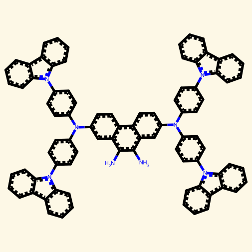 Nc1c(N)c2cc(N(c3ccc(-n4c5ccccc5c5ccccc54)cc3)c3ccc(-n4c5ccccc5c5ccccc54)cc3)ccc2c2ccc(N(c3ccc(-n4c5ccccc5c5ccccc54)cc3)c3ccc(-n4c5ccccc5c5ccccc54)cc3)cc12